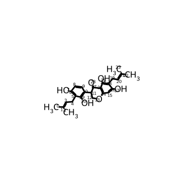 CC(C)=CCc1c(O)ccc(C2COc3cc(O)c(CC=C(C)C)c(O)c3C2=O)c1O